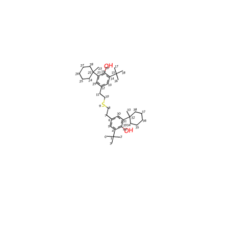 CC(C)(C)c1cc(CCSCCc2cc(C(C)(C)C)c(O)c(C3(C)CCCCC3)c2)cc(C2(C)CCCCC2)c1O